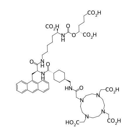 O=C(O)CCC[C@@H](OC(=O)N[C@@H](CCCCCNC(=O)[C@H](Cc1c2ccccc2cc2ccccc12)NC(=O)[C@H]1CC[C@H](CNC(=O)CN2CCN(CC(=O)O)CCN(CC(=O)O)CCN(CC(=O)O)CC2)CC1)C(=O)O)C(=O)O